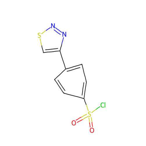 O=S(=O)(Cl)c1ccc(-c2csnn2)cc1